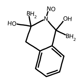 BC1(O)Cc2ccccc2C(B)(O)N1N=O